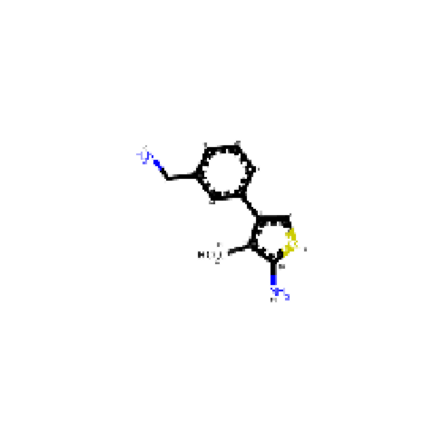 NCc1cccc(-c2csc(N)c2C(=O)O)c1